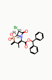 C=C1C(C)=C(C(=O)OC(c2ccccc2)c2ccccc2)N2C(=O)[C@H](Br)[C@@H]2S1(=O)=O